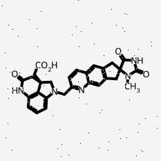 CN1C(=O)NC(=O)C12Cc1cc3ccc(CN4CC5(CC(=O)O)CC(=O)Nc6cccc4c65)nc3cc1C2